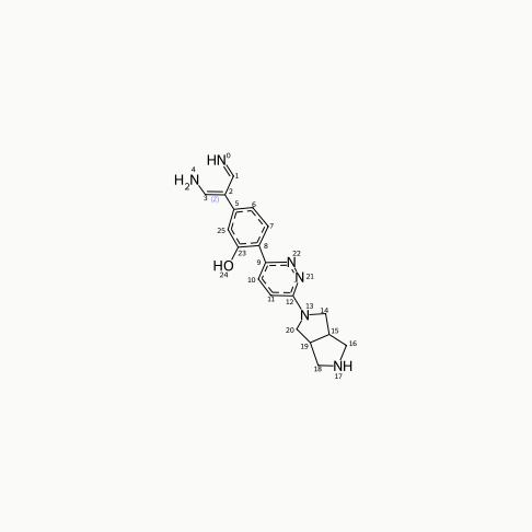 N=C/C(=C\N)c1ccc(-c2ccc(N3CC4CNCC4C3)nn2)c(O)c1